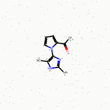 CCCc1nc(-n2cccc2C(=O)C(F)(F)F)c(C#N)[nH]1